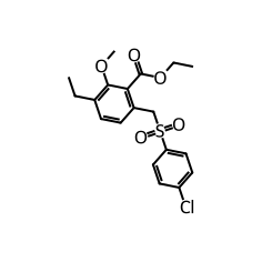 CCOC(=O)c1c(CS(=O)(=O)c2ccc(Cl)cc2)ccc(CC)c1OC